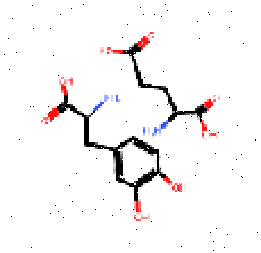 NC(CCC(=O)O)C(=O)O.N[C@@H](Cc1ccc(O)c(O)c1)C(=O)O